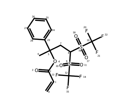 C=CC(=O)OC(C)(CC(S(=O)(=O)C(F)(F)F)S(=O)(=O)C(F)(F)F)c1ccccc1